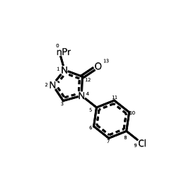 CCCn1ncn(-c2ccc(Cl)cc2)c1=O